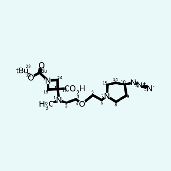 CN(CCOCCN1CCC(N=[N+]=[N-])CC1)C1(C(=O)O)CN(C(=O)OC(C)(C)C)C1